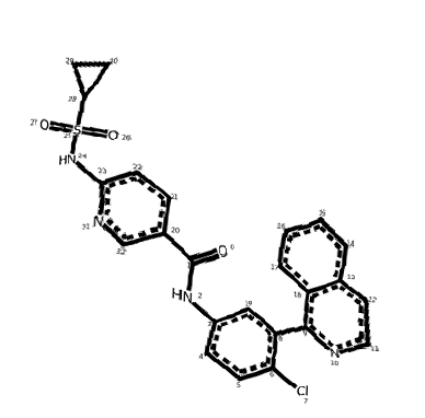 O=C(Nc1ccc(Cl)c(-c2nccc3ccccc23)c1)c1ccc(NS(=O)(=O)C2CC2)nc1